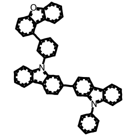 c1ccc(-n2c3ccccc3c3ccc(-c4ccc5c6ccccc6n(-c6cccc(-c7cccc8oc9ccccc9c78)c6)c5c4)cc32)cc1